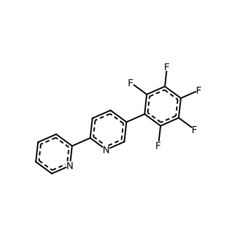 Fc1c(F)c(F)c(-c2ccc(-c3ccccn3)nc2)c(F)c1F